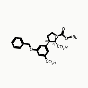 CC(C)(C)OC(=O)N1CC[C@H](c2cc(OCc3ccccc3)cc(C(=O)O)c2)[C@H]1C(=O)O